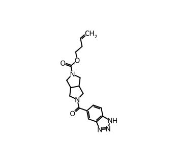 C=CCCOC(=O)N1CC2CN(C(=O)c3ccc4[nH]nnc4c3)CC2C1